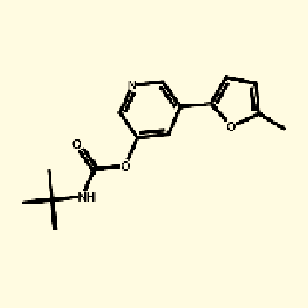 Cc1ccc(-c2cncc(OC(=O)NC(C)(C)C)c2)o1